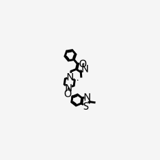 Cc1nc2cc(ON3C[CH]N(Cc4c(C)noc4-c4ccccc4)CC3)ccc2s1